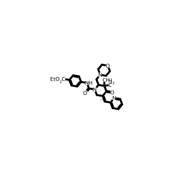 CCOC(=O)c1ccc(NC(=O)N2C/C(=C/c3ccccn3)C(=O)C(C)(C)C2CN2CCOCC2)cc1